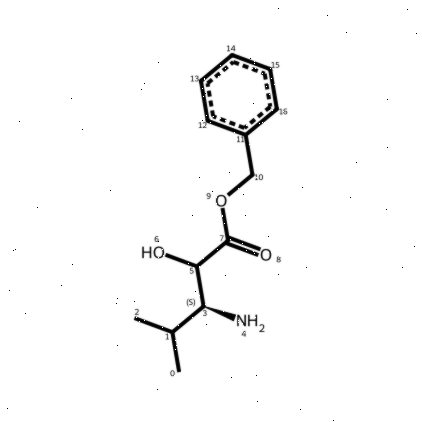 CC(C)[C@H](N)C(O)C(=O)OCc1ccccc1